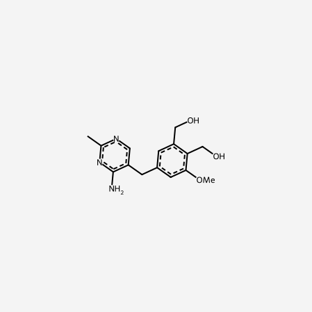 COc1cc(Cc2cnc(C)nc2N)cc(CO)c1CO